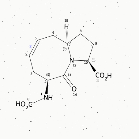 O=C(O)N[C@H]1C/C=C\C[C@H]2CC[C@@H](C(=O)O)N2C1=O